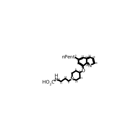 CCCCCc1cc(OC2CCN(CCCNC(=O)O)CC2)c2ncccc2c1